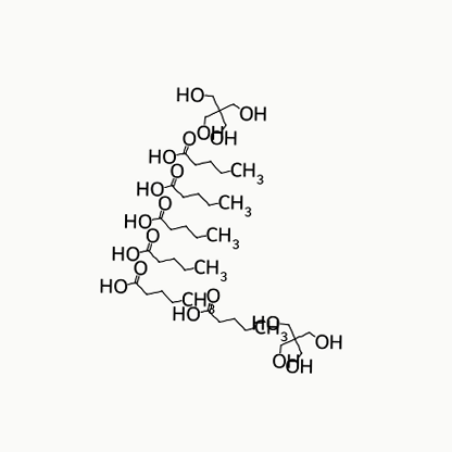 CCCCC(=O)O.CCCCC(=O)O.CCCCC(=O)O.CCCCC(=O)O.CCCCC(=O)O.CCCCC(=O)O.OCC(CO)(CO)CO.OCC(CO)(CO)CO